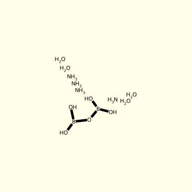 N.N.N.N.O.O.O.O.OB(O)OB(O)O